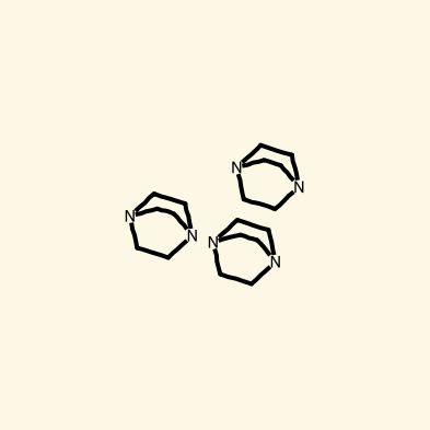 C1CN2CCN1CC2.C1CN2CCN1CC2.C1CN2CCN1CC2